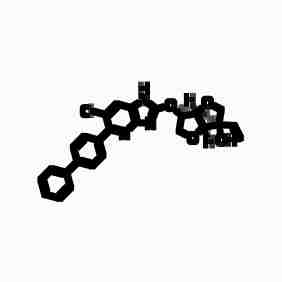 C=C[C@@]1(O)CO[C@@H]2[C@H](Oc3nc4nc(-c5ccc(-c6ccccc6)cc5)c(Cl)cc4[nH]3)CO[C@@H]21